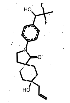 C=CC[C@]1(O)CC[C@@]2(CCN(c3ccc(C(O)C(C)(F)F)cc3)C2=O)CC1